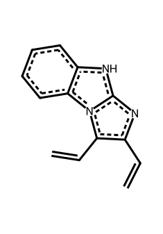 C=Cc1nc2[nH]c3ccccc3n2c1C=C